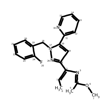 C/C=C(\N=C(/C)OC)c1cc(-c2ccccn2)n(Cc2ccccc2F)n1